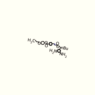 C=CCCOC1CCC(OC(=O)c2ccc(/C=C/C(=O)OCC(CCCC)c3cc(N)cc(N)c3)cc2)CC1